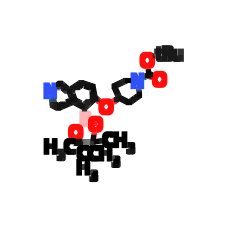 CC(C)(C)OC(=O)N1CCC(Oc2ccc3cnccc3c2B2OC(C)(C)C(C)(C)O2)CC1